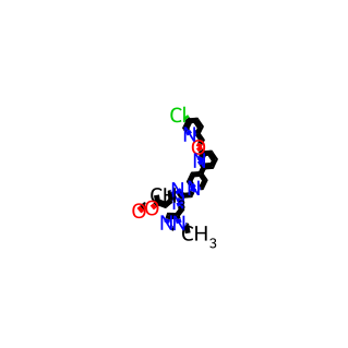 CCn1cncc1Cn1c(/C=C(\C)OC=O)cnc1CN1CCC(c2cccc(OCc3ccc(Cl)cn3)n2)CC1